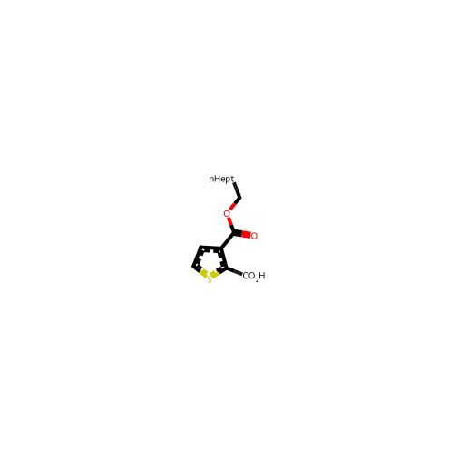 CCCCCCCCOC(=O)c1ccsc1C(=O)O